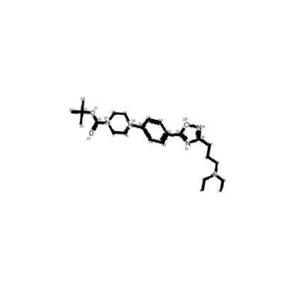 CCN(CC)CCCc1noc(-c2ccc(N3CCN(C(=O)OC(C)(C)C)CC3)cc2)n1